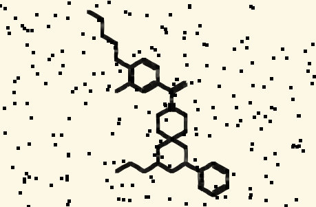 C=C(c1ccc(CCCCC)c(C)c1)N1CCC2(CC1)CC(CCC)CC(c1ccccc1)C2